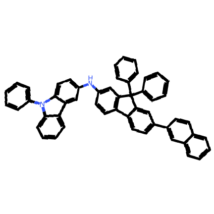 c1ccc(-n2c3ccccc3c3cc(Nc4ccc5c(c4)C(c4ccccc4)(c4ccccc4)c4cc(-c6ccc7ccccc7c6)ccc4-5)ccc32)cc1